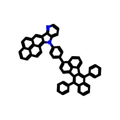 c1ccc(-c2c3c(c(-c4ccccc4)c4ccccc24)-c2ccc(-c4ccc(-n5c6cccnc6c6cc7ccc8cccc9ccc(c7c89)c65)cc4)c4cccc-3c24)cc1